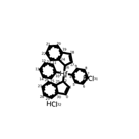 C1=C[CH]([Hf]([c]2ccccc2)([c]2ccccc2)[CH]2C=Cc3ccccc32)c2ccccc21.Cl.Cl